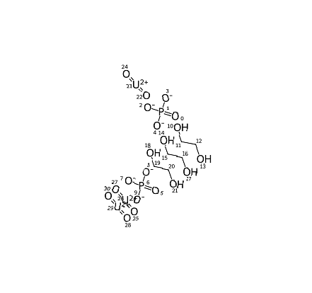 O=P([O-])([O-])[O-].O=P([O-])([O-])[O-].OCCO.OCCO.OCCO.[O]=[U+2]=[O].[O]=[U+2]=[O].[O]=[U+2]=[O]